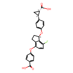 O=C(O)c1ccc(Oc2ccc(F)c3c2CC[C@H]3Oc2ccc([C@H]3C[C@@H]3C(=O)O)cc2)cc1